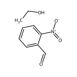 CCO.O=Cc1ccccc1[N+](=O)[O-]